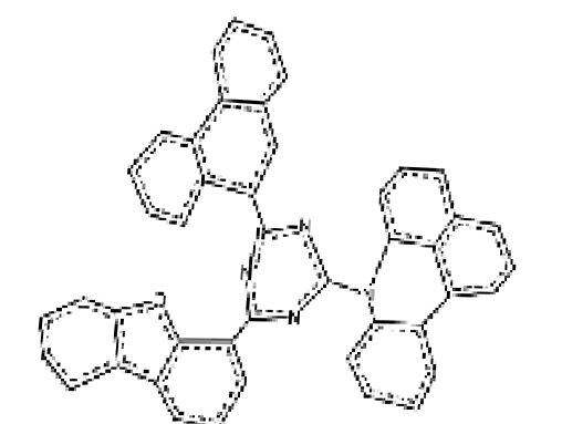 c1ccc2c(c1)-c1cccc3cccc(c13)N2c1nc(-c2cc3ccccc3c3ccccc23)nc(-c2cccc3c2oc2ccccc23)n1